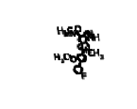 CCOc1cc(C(=O)N(C)Cc2ccc(C(=O)NC)c3cn[nH]c23)ccc1-c1cccc(F)c1